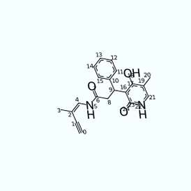 C#C/C(C)=C\NC(=O)CC(c1ccccc1)c1c(O)c(C)c[nH]c1=O